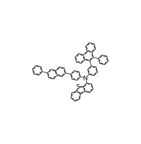 c1ccc(-c2ccc3cc(-c4ccc(N(c5cccc(-c6c(-c7ccccc7)c7ccccc7c7ccccc67)c5)c5cccc6c5sc5ccccc56)cc4)ccc3c2)cc1